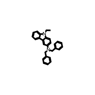 CCn1c2ccccc2c2cc(N(Cc3ccccc3)Cc3ccccc3)ccc21